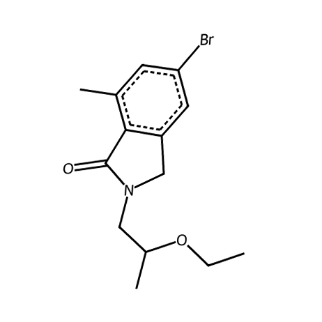 CCOC(C)CN1Cc2cc(Br)cc(C)c2C1=O